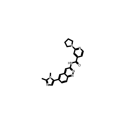 Cc1ncc(-c2ccc3nnc(NC(=O)c4ccnc(N5CCCC5)c4)cc3c2)n1C